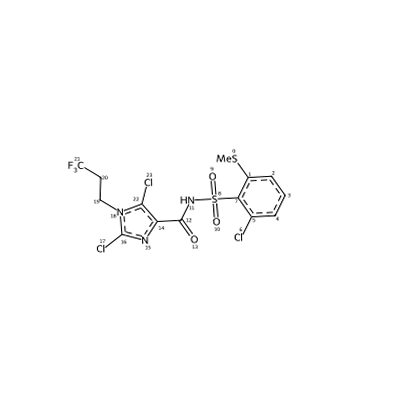 CSc1cccc(Cl)c1S(=O)(=O)NC(=O)c1nc(Cl)n(CCC(F)(F)F)c1Cl